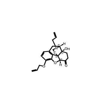 C=CCOc1ccc2c3c1O[C@H]1C(=O)CC[C@@]4(O)[C@@H](C2)N(CC=C)CC[C@]314